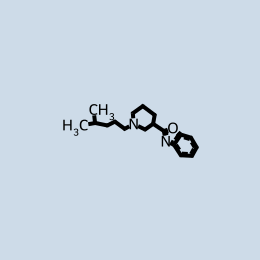 CC(C)CCCN1CCCC(c2nc3ccccc3o2)C1